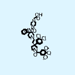 COc1cc(C(=O)N2CC[C@](CCN3CCC(NC(=O)N4CCN(CC(=O)O)CC4)(c4ccccc4)CC3)(c3ccc(Cl)c(Cl)c3)C2)cc(OC)c1OC